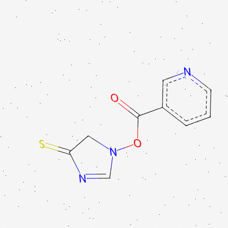 O=C(ON1C=NC(=S)C1)c1cccnc1